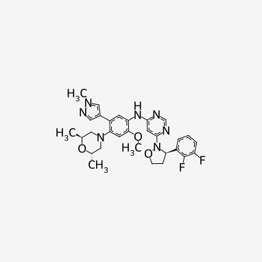 COc1cc(N2C[C@H](C)O[C@@H](C)C2)c(-c2cnn(C)c2)cc1Nc1cc(N2OCC[C@@H]2c2cccc(F)c2F)ncn1